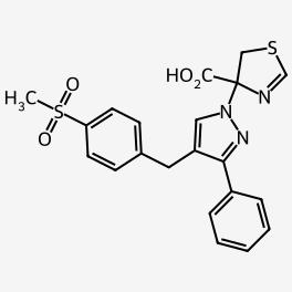 CS(=O)(=O)c1ccc(Cc2cn(C3(C(=O)O)CSC=N3)nc2-c2ccccc2)cc1